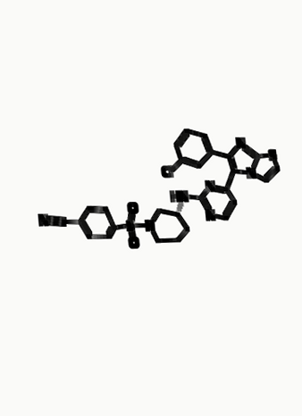 N#Cc1ccc(S(=O)(=O)N2CCC[C@@H](Nc3nccc(-c4c(-c5cccc(Cl)c5)nc5sccn45)n3)C2)cc1